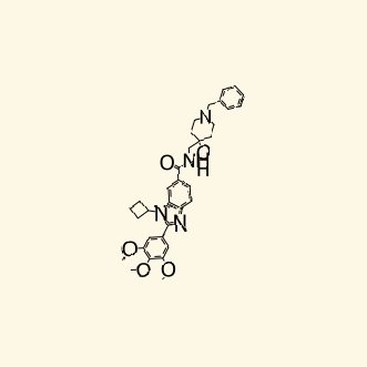 COc1cc(-c2nc3ccc(C(=O)NCC4(O)CCN(Cc5ccccc5)CC4)cc3n2C2CCC2)cc(OC)c1OC